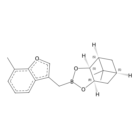 Cc1cccc2c(CB3O[C@H]4[C@H]5C[C@@H](C[C@H]4O3)C5(C)C)coc12